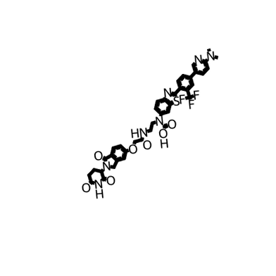 CN(C)c1ccc(-c2ccc(-c3nc4ccc(N(CCNC(=O)COc5ccc6c(c5)CN(C5CCC(=O)NC5=O)C6=O)C(=O)O)cc4s3)c(C(F)(F)F)c2)cn1